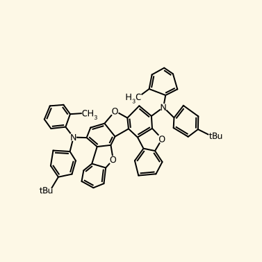 Cc1ccccc1N(c1ccc(C(C)(C)C)cc1)c1cc2oc3cc(N(c4ccc(C(C)(C)C)cc4)c4ccccc4C)c4c5ccccc5oc4c3c2c2c1oc1ccccc12